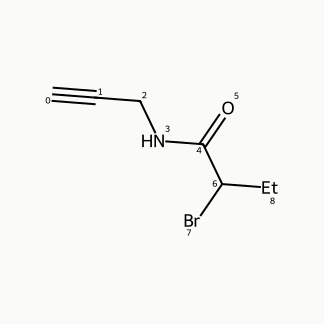 C#CCNC(=O)C(Br)CC